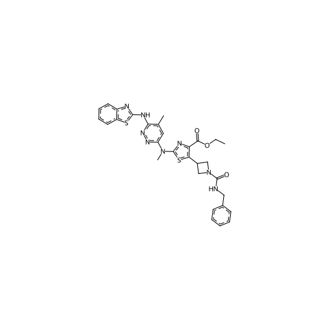 CCOC(=O)c1nc(N(C)c2cc(C)c(Nc3nc4ccccc4s3)nn2)sc1C1CN(C(=O)NCc2ccccc2)C1